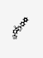 CC(C)(C)OC(=O)N1CCN2C(=O)N(OC(=O)N3CCC(c4ccccc4)CC3)C(=O)C2C1